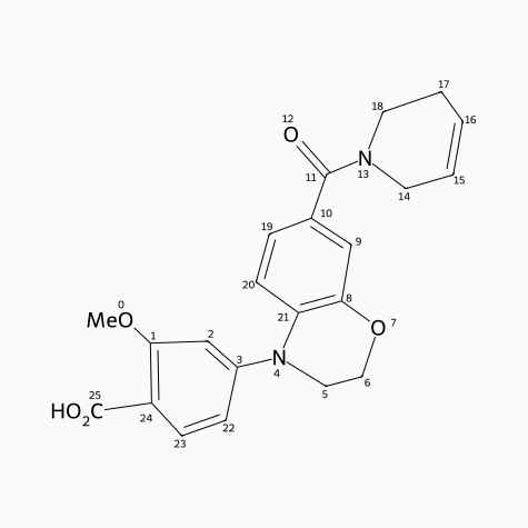 COc1cc(N2CCOc3cc(C(=O)N4CC=CCC4)ccc32)ccc1C(=O)O